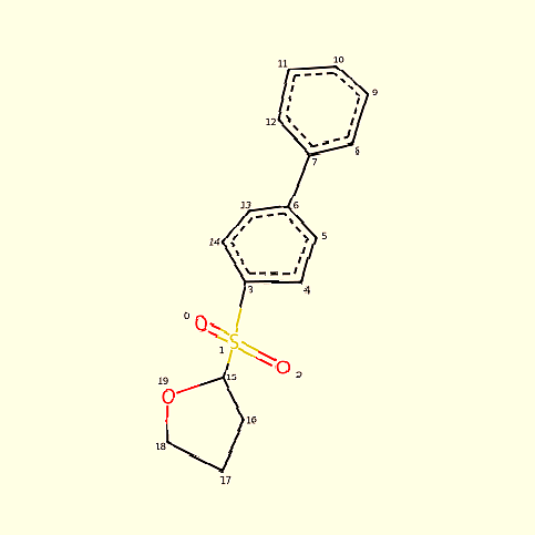 O=S(=O)(c1ccc(-c2ccccc2)cc1)C1CCCO1